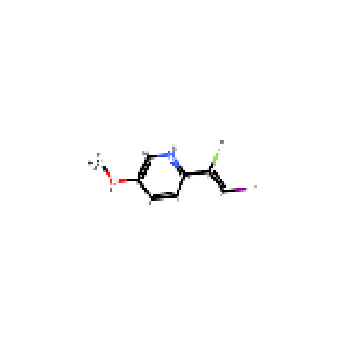 FC(=CI)c1ccc(OC(F)(F)F)cn1